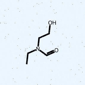 CCN(C=O)CCO